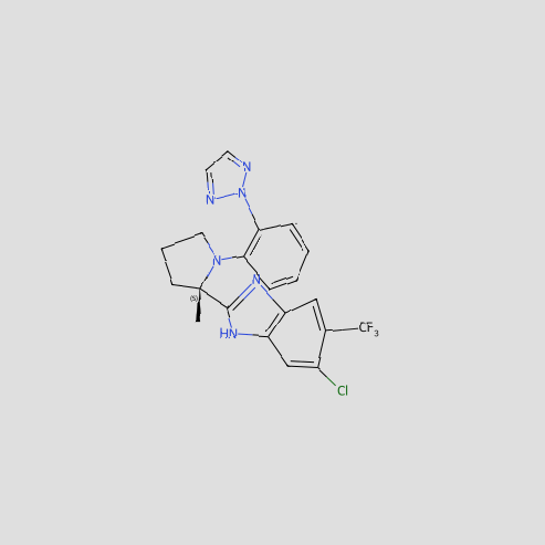 C[C@@]1(c2nc3cc(C(F)(F)F)c(Cl)cc3[nH]2)CCCN1c1ccc[c]c1-n1nccn1